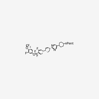 CCCCCC1CCC(c2cnc([C@H]3C=C[C@@H]([C@H]4C=C(F)C(C(F)(F)Oc5ccc(OC(F)(F)F)c(F)c5)=CC4)CC3)nc2)CC1